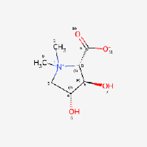 C[N+]1(C)C[C@@H](O)[C@H](O)[C@H]1C(=O)[O-]